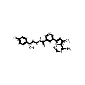 Nc1ncnn2c(-c3cncc(C(=O)NCC[C@H](O)c4ccc(Cl)cc4)c3)cc(C(F)(F)F)c12